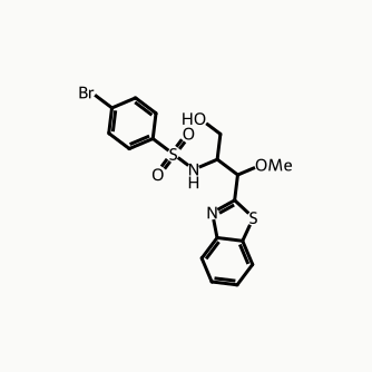 COC(c1nc2ccccc2s1)C(CO)NS(=O)(=O)c1ccc(Br)cc1